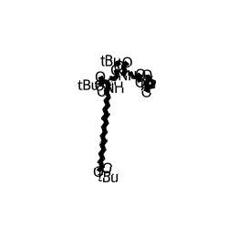 CC(C)(C)OC(=O)CCCCCCCCCCCCCCCCC(=O)N[C@@H](CCC(=O)N[C@@H](CCC(=O)ON1C(=O)CCC1=O)C(=O)OC(C)(C)C)C(=O)OC(C)(C)C